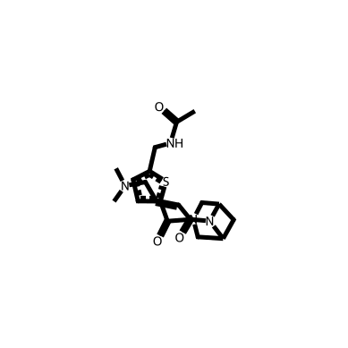 CC(=O)NCc1ccc(C(=O)N2CC3CC(C2)N3C(=O)C=CCN(C)C)s1